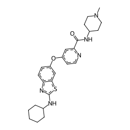 CN1CCC(NC(=O)c2cc(Oc3ccc4nc(NC5CCCCC5)sc4c3)ccn2)CC1